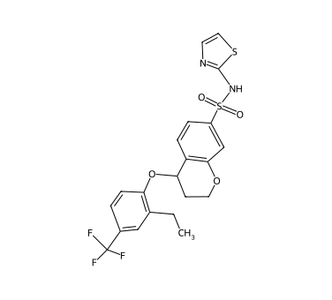 CCc1cc(C(F)(F)F)ccc1OC1CCOc2cc(S(=O)(=O)Nc3nccs3)ccc21